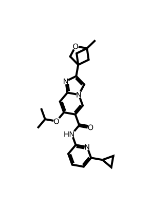 CC(C)Oc1cc2nc(C34COC(C)(C3)C4)cn2cc1C(=O)Nc1cccc(C2CC2)n1